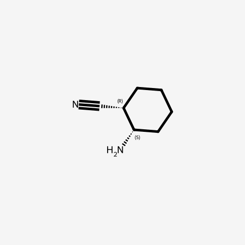 N#C[C@@H]1CCCC[C@@H]1N